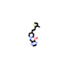 COc1nccnc1CN1CCC(C=Cc2sccc2C)CC1